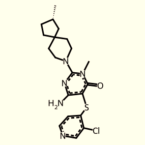 C[C@H]1CCC2(CCN(c3nc(N)c(Sc4ccncc4Cl)c(=O)n3C)CC2)C1